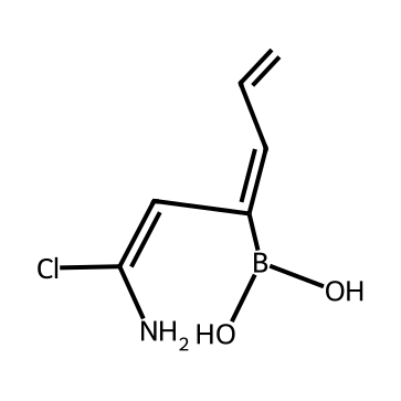 C=C/C=C(\C=C(/N)Cl)B(O)O